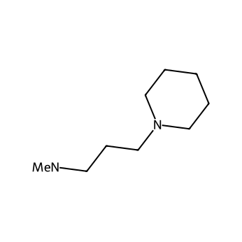 CNCCCN1CCCCC1